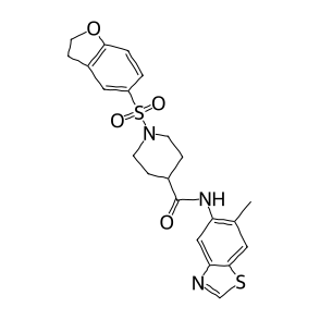 Cc1cc2scnc2cc1NC(=O)C1CCN(S(=O)(=O)c2ccc3c(c2)CCO3)CC1